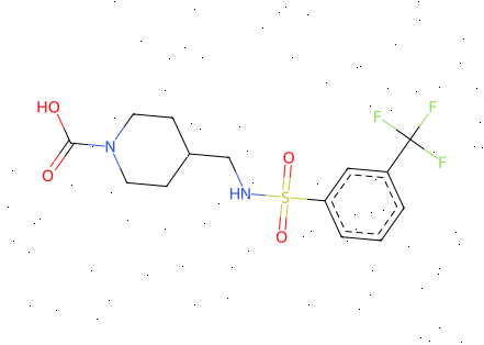 O=C(O)N1CCC(CNS(=O)(=O)c2cccc(C(F)(F)F)c2)CC1